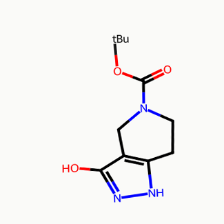 CC(C)(C)OC(=O)N1CCc2[nH]nc(O)c2C1